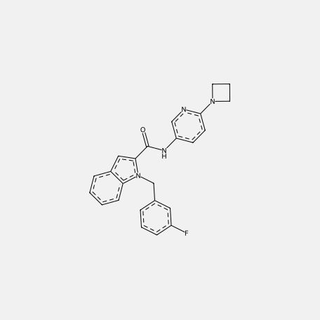 O=C(Nc1ccc(N2CCC2)nc1)c1cc2ccccc2n1Cc1cccc(F)c1